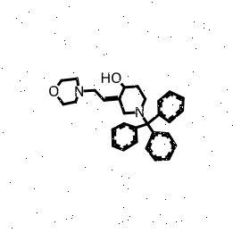 OC1CCN(C(c2ccccc2)(c2ccccc2)c2ccccc2)C/C1=C/CN1CCOCC1